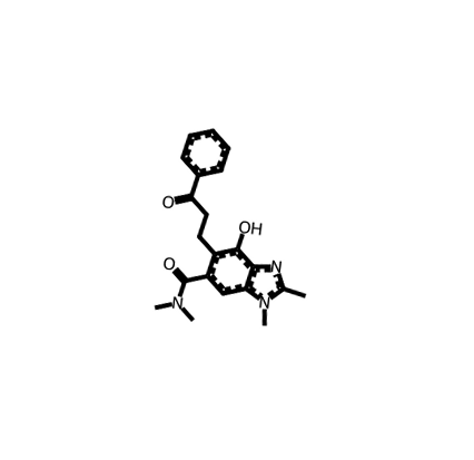 Cc1nc2c(O)c(CCC(=O)c3ccccc3)c(C(=O)N(C)C)cc2n1C